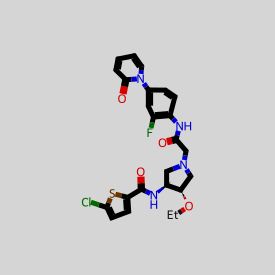 CCO[C@H]1CN(CC(=O)Nc2ccc(-n3ccccc3=O)cc2F)C[C@@H]1NC(=O)c1ccc(Cl)s1